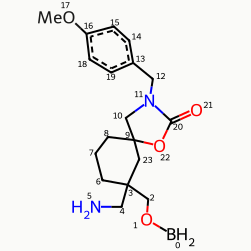 BOCC1(CN)CCCC2(CN(Cc3ccc(OC)cc3)C(=O)O2)C1